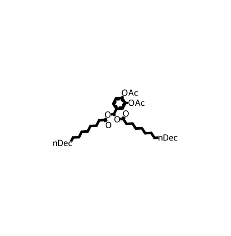 CCCCCCCCCCCCCCCCCC(=O)OC(OC(=O)CCCCCCCCCCCCCCCCC)c1ccc(OC(C)=O)c(OC(C)=O)c1